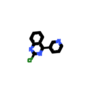 Clc1nc(-c2cccnc2)c2ccccc2n1